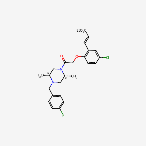 CCOC(=O)C=Cc1cc(Cl)ccc1OCC(=O)N1C[C@H](C)N(Cc2ccc(F)cc2)C[C@H]1C